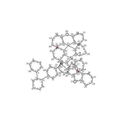 c1ccc(-c2ccccc2-c2ccc(N(c3ccc4c(c3)oc3ccccc34)c3cccc4c3[Si](c3ccccc3)(c3ccccc3)c3ccccc3C43c4ccccc4Oc4ccccc43)cc2)cc1